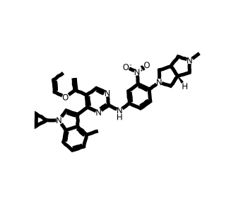 C=C(O/C=C\C)c1cnc(Nc2ccc(N3CC4CN(C)C[C@@H]4C3)c([N+](=O)[O-])c2)nc1-c1cn(C2CC2)c2cccc(C)c12